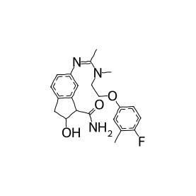 CC(=Nc1ccc2c(c1)C(C(N)=O)C(O)C2)N(C)CCOc1ccc(F)c(C)c1